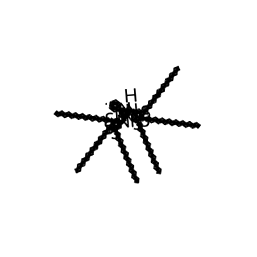 CCCCCCCCCCCCCCCCSc1cc(Nc2nc(Nc3cc(SCCCCCCCCCCCCCCCC)c(SCCCCCCCCCCCCCCCC)c(SCCCCCCCCCCCCCCCC)c3)nc(-c3cc[c]cc3)n2)cc(SCCCCCCCCCCCCCCCC)c1SCCCCCCCCCCCCCCCC